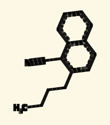 CCCCc1ccc2ccccc2c1C#N